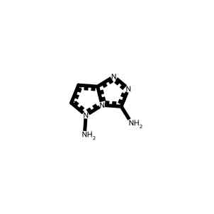 Nc1nnc2ccn(N)n12